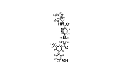 CC(C)(C)c1cc(C(=O)N2CCN(c3ccc(C(=O)NCC45CC6CC(CC(C6)C4)C5)nn3)CC2)cc(-c2cccc(O)c2)c1